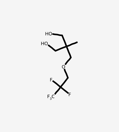 CC(CO)(CO)COCC(F)(F)C(F)(F)F